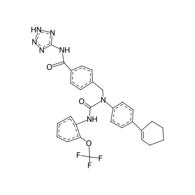 O=C(Nc1nn[nH]n1)c1ccc(CN(C(=O)Nc2ccccc2OC(F)(F)F)c2ccc(C3=CCCCC3)cc2)cc1